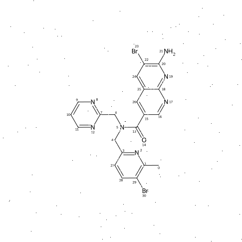 Cc1nc(CN(Cc2ncccn2)C(=O)c2cnc3nc(N)c(Br)cc3c2)ccc1Br